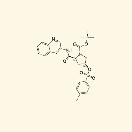 Cc1ccc(S(=O)(=O)O[C@H]2C[C@@H](C(=O)Nc3cnc4ccccc4c3)N(C(=O)OC(C)(C)C)C2)cc1